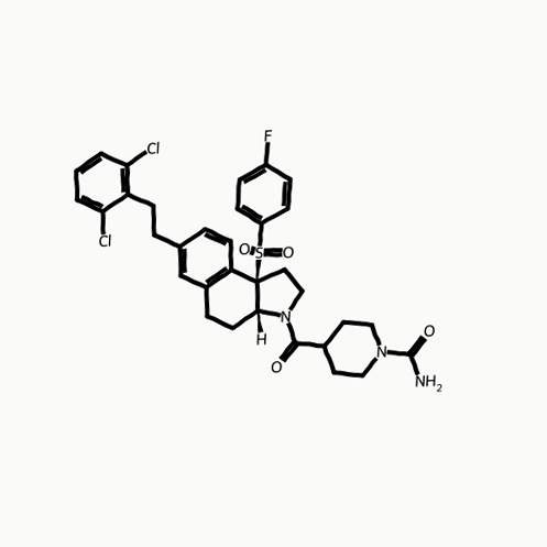 NC(=O)N1CCC(C(=O)N2CC[C@@]3(S(=O)(=O)c4ccc(F)cc4)c4ccc(CCc5c(Cl)cccc5Cl)cc4CC[C@@H]23)CC1